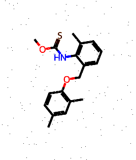 COC(=S)Nc1c(C)cccc1COc1ccc(C)cc1C